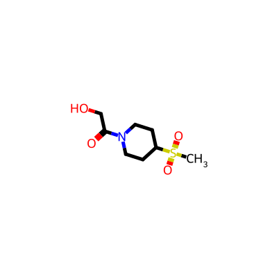 CS(=O)(=O)C1CCN(C(=O)CO)CC1